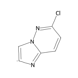 Clc1ccc2n[c]cn2n1